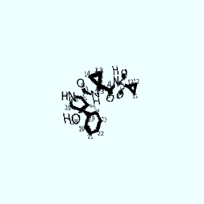 O=C(NC1(C(=O)NS(=O)(=O)C2CC2)CC1)[C@@H]1C[C@@](O)(C2C=CC=CC2)CN1